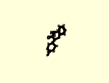 CN1CCC(C2Cc3ccccc3NC2=O)CC1